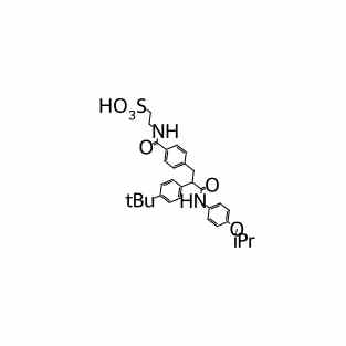 CC(C)Oc1ccc(NC(=O)C(Cc2ccc(C(=O)NCCS(=O)(=O)O)cc2)c2ccc(C(C)(C)C)cc2)cc1